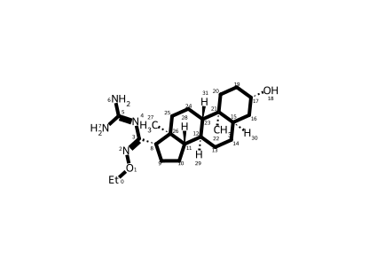 CCO/N=C(/N=C(N)N)[C@H]1CC[C@H]2[C@@H]3CC[C@@H]4C[C@@H](O)CC[C@]4(C)[C@H]3CC[C@]12C